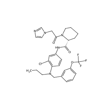 CCCN(Cc1cccc(OC(F)(F)F)c1)c1ccc(NC(=O)[C@H]2CCCCN2C(=O)Cn2ccnc2)cc1Cl